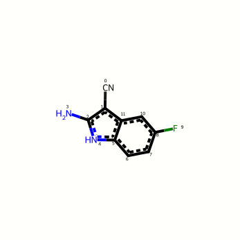 N#Cc1c(N)[nH]c2[c]cc(F)cc12